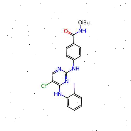 CC(C)CONC(=O)c1ccc(Nc2ncc(Cl)c(Nc3ccccc3I)n2)cc1